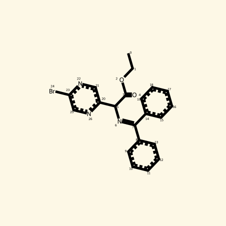 CCOC(=O)C(N=C(c1ccccc1)c1ccccc1)c1cnc(Br)cn1